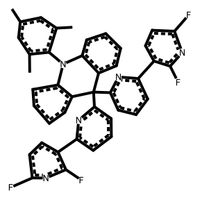 Cc1cc(C)c(N2c3ccccc3C(c3cccc(-c4ccc(F)nc4F)n3)(c3cccc(-c4ccc(F)nc4F)n3)c3ccccc32)c(C)c1